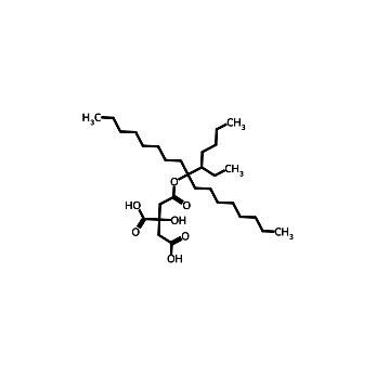 CCCCCCCCC(CCCCCCCC)(OC(=O)CC(O)(CC(=O)O)C(=O)O)C(CC)CCCC